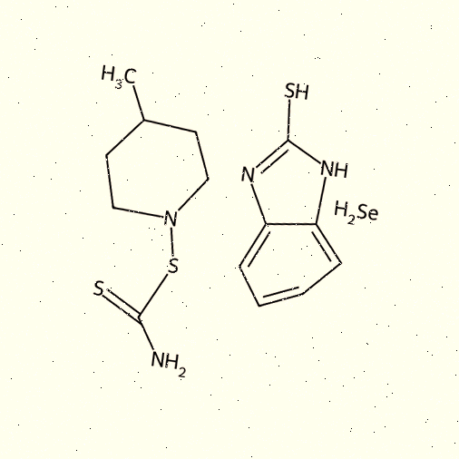 CC1CCN(SC(N)=S)CC1.Sc1nc2ccccc2[nH]1.[SeH2]